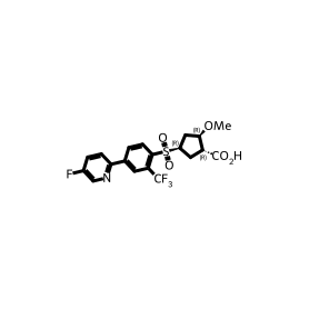 CO[C@@H]1C[C@H](S(=O)(=O)c2ccc(-c3ccc(F)cn3)cc2C(F)(F)F)C[C@H]1C(=O)O